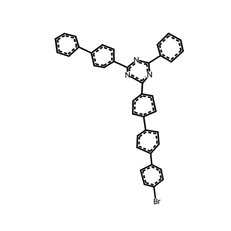 Brc1ccc(-c2ccc(-c3ccc(-c4nc(-c5ccccc5)nc(-c5ccc(-c6ccccc6)cc5)n4)cc3)cc2)cc1